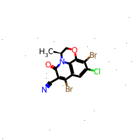 C[C@H]1COc2c(Br)c(Cl)cc3c(Br)c(C#N)c(=O)n1c23